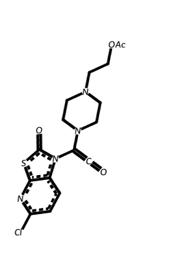 CC(=O)OCCN1CCN(C(=C=O)n2c(=O)sc3nc(Cl)ccc32)CC1